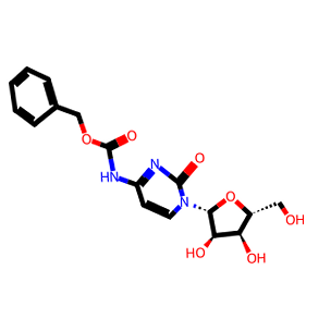 O=C(Nc1ccn([C@@H]2O[C@H](CO)[C@@H](O)[C@H]2O)c(=O)n1)OCc1ccccc1